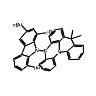 CCCCc1cc(CCCC)c2c(c1)c1cccc(CCCC)c1n2B1c2ccccc2N2c3ccccc3C(C)(C)c3cccc1c32